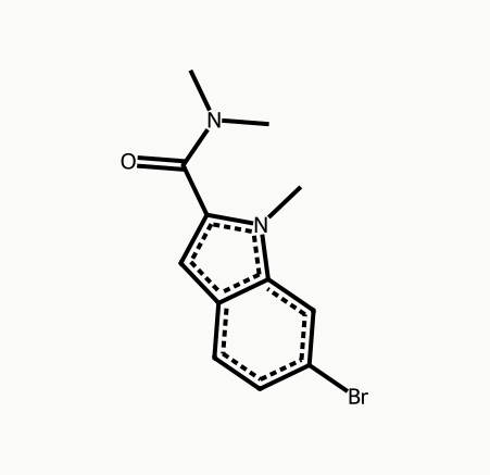 CN(C)C(=O)c1cc2ccc(Br)cc2n1C